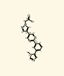 Cn1cncc1-c1cccc(-c2ncc(-c3cnn(CC(=O)I)c3)cn2)c1